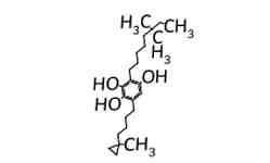 CCC(C)(C)CCCCCc1c(O)cc(CCCCC2(C)CC2)c(O)c1O